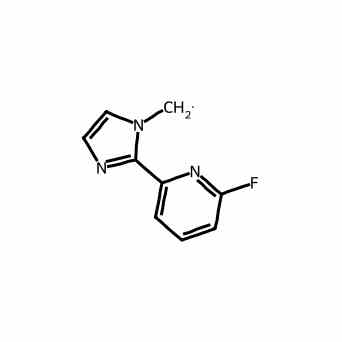 [CH2]n1ccnc1-c1cccc(F)n1